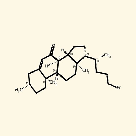 CC(C)CCC[C@@H](C)[C@H]1CC[C@H]2[C@@H]3C(=O)C=C4C[C@@H](C)CC[C@]4(C)[C@H]3CC[C@]12C